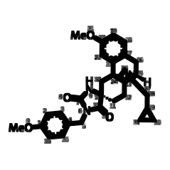 COc1ccc(CN2C(=O)N[C@]3(CC[C@@]4(O)[C@H]5Cc6ccc(OC)cc6[C@@]4(CCN5CC4CC4)C3)C2=O)cc1